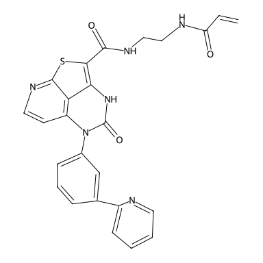 C=CC(=O)NCCNC(=O)c1sc2nccc3c2c1NC(=O)N3c1cccc(-c2ccccn2)c1